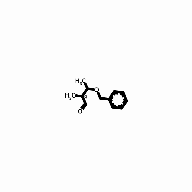 CC(OCc1ccccc1)[C@H](C)C=O